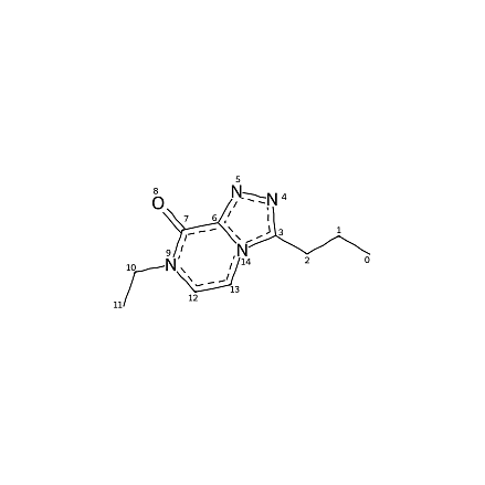 CCCc1nnc2c(=O)n(CC)ccn12